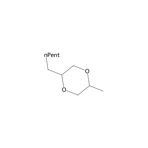 CCCCCCC1COC(C)CO1